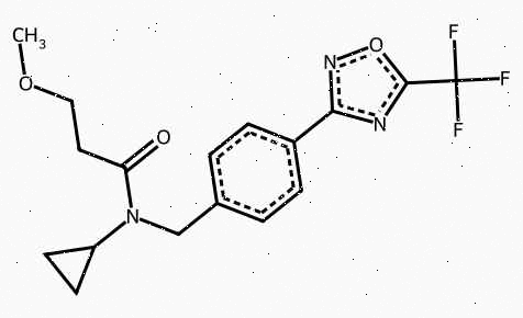 COCCC(=O)N(Cc1ccc(-c2noc(C(F)(F)F)n2)cc1)C1CC1